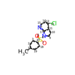 Cc1ccc(S(=O)(=O)n2ccc3c(Cl)ccnc32)cc1